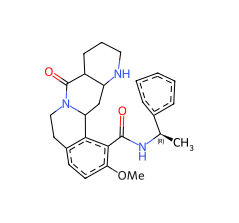 COc1ccc2c(c1C(=O)N[C@H](C)c1ccccc1)C1CC3NCCCC3C(=O)N1CC2